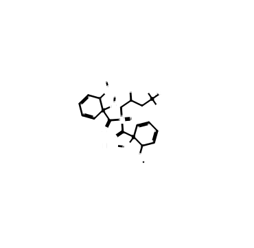 COC1C=CC=CC1(OC)C(=O)P(=O)(CC(C)CC(C)(C)C)C(=O)C1(OC)C=CC=CC1OC